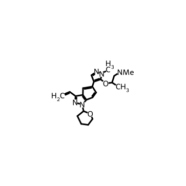 C=Cc1nn(C2CCCCO2)c2ccc(-c3cnn(C)c3OC(C)CNC)cc12